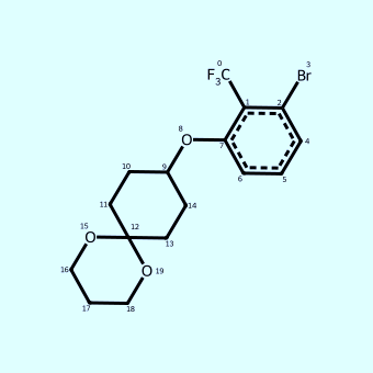 FC(F)(F)c1c(Br)cccc1OC1CCC2(CC1)OCCCO2